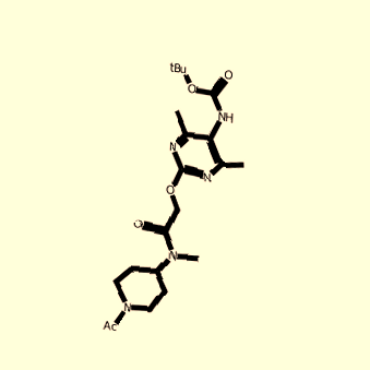 CC(=O)N1CCC(N(C)C(=O)COc2nc(C)c(NC(=O)OC(C)(C)C)c(C)n2)CC1